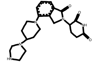 O=C1CCC(N2Cc3c(cccc3N3CCC(N4CCNCC4)CC3)C2=O)C(=O)N1